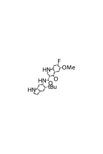 COc1cc2c(=O)c(C(=O)Nc3cc4[nH]ccc4cc3C(C)(C)C)c[nH]c2cc1F